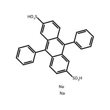 O=S(=O)(O)c1ccc2c(-c3ccccc3)c3cc(S(=O)(=O)O)ccc3c(-c3ccccc3)c2c1.[Na].[Na]